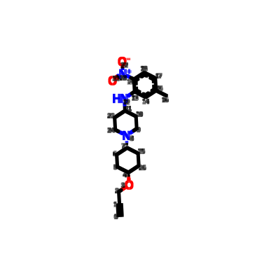 C#CCO[C@H]1CC[C@H](N2CCC(Nc3cc(C)ccc3[N+](=O)[O-])CC2)CC1